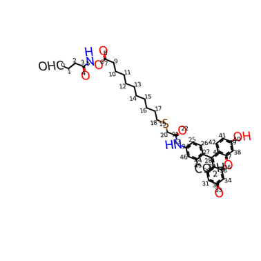 O=CCCC(=O)NOC(=O)CCCCCCCCCCSCC(=O)Nc1ccc(-c2c3ccc(=O)cc-3oc3cc(O)ccc23)c(C(=O)O)c1